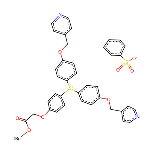 CC(C)(C)OC(=O)COc1ccc([S+](c2ccc(OCc3ccncc3)cc2)c2ccc(OCc3ccncc3)cc2)cc1.O=S(=O)([O-])c1ccccc1